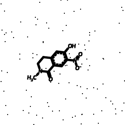 CN1CCc2cc(O)c([N+](=O)[O-])cc2C1=O